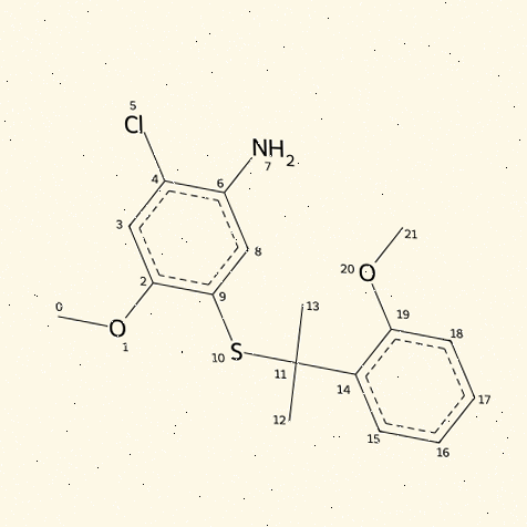 COc1cc(Cl)c(N)cc1SC(C)(C)c1ccccc1OC